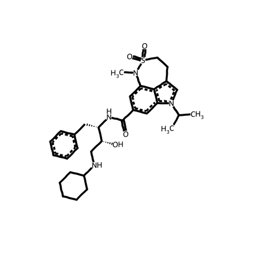 CC(C)n1cc2c3c(cc(C(=O)N[C@@H](Cc4ccccc4)[C@H](O)CNC4CCCCC4)cc31)N(C)S(=O)(=O)CC2